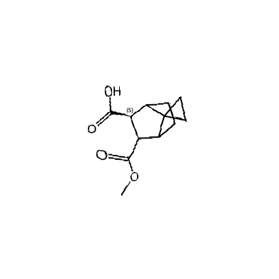 COC(=O)C1C2CCC([C@@H]1C(=O)O)C21CC1